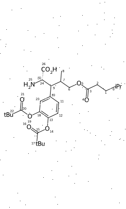 CC(C)CCC(=O)OCC(C)C(c1ccc(OC(=O)C(C)(C)C)c(OC(=O)C(C)(C)C)c1)[C@H](N)C(=O)O